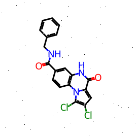 O=C(NCc1ccccc1)c1ccc2c(c1)[nH]c(=O)c1cc(Cl)c(Cl)n12